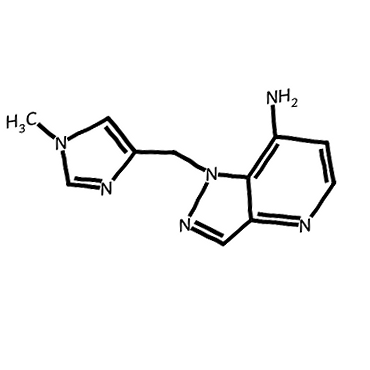 Cn1cnc(Cn2ncc3nccc(N)c32)c1